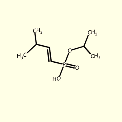 CC(C)/C=C/P(=O)(O)OC(C)C